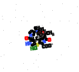 C[C@@H](O)[C@H]1C(=O)N2C(C(=O)[O-])=C(S[C@@H]3CN[C@H](C(=O)N4CC[C@@H]([N+](C)(C)C)C4)C3)[C@H](C)[C@H]12.Cl